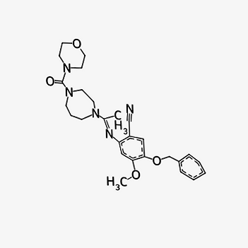 COc1cc(/N=C(\C)N2CCCN(C(=O)N3CCOCC3)CC2)c(C#N)cc1OCc1ccccc1